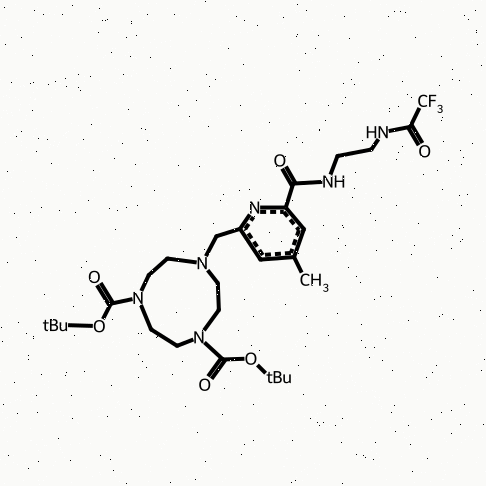 Cc1cc(CN2CCN(C(=O)OC(C)(C)C)CCN(C(=O)OC(C)(C)C)CC2)nc(C(=O)NCCNC(=O)C(F)(F)F)c1